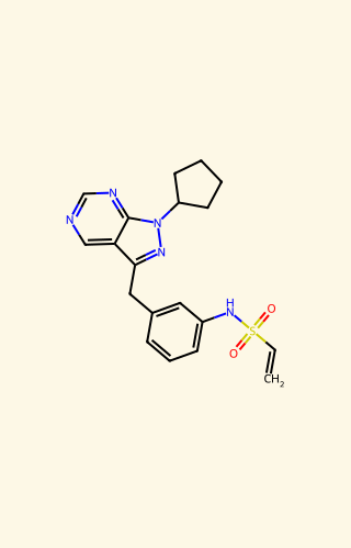 C=CS(=O)(=O)Nc1cccc(Cc2nn(C3CCCC3)c3ncncc23)c1